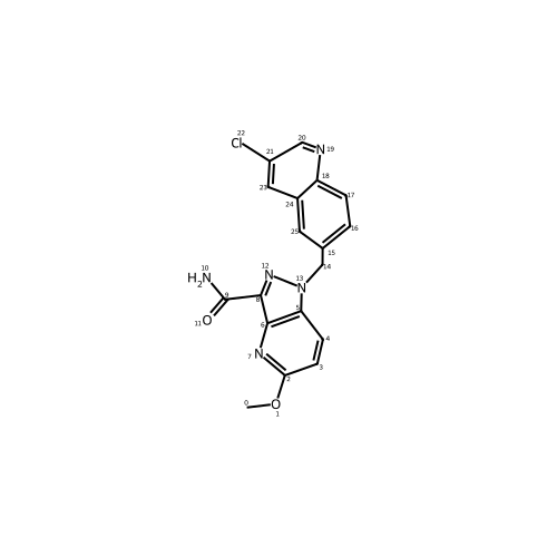 COc1ccc2c(n1)c(C(N)=O)nn2Cc1ccc2ncc(Cl)cc2c1